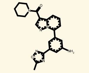 Cc1nc(-c2cc(N)cc(-c3cccc4c(C(=O)N5CCCCC5)cnn34)c2)no1